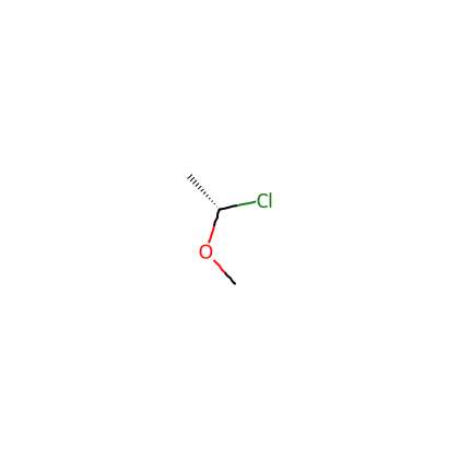 CO[C@H](C)Cl